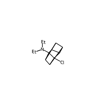 CCN(CC)C12C3C4C5C3C1(Cl)C5C42